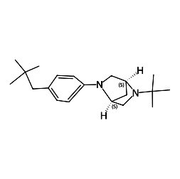 CC(C)(C)Cc1ccc(N2C[C@@H]3C[C@H]2CN3C(C)(C)C)cc1